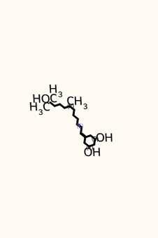 C[C@H](CCC/C=C/C=C1C[C@@H](O)C[C@H](O)C1)CCCC(C)(C)O